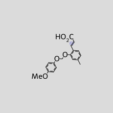 COc1ccc(OCOc2cc(C)ccc2/C=C/C(=O)O)cc1